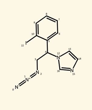 [N-]=[N+]=NCC(c1ccccc1I)n1ccnc1